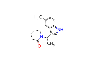 Cc1ccc2[nH]cc(C(C)N3CCCCC3=O)c2c1